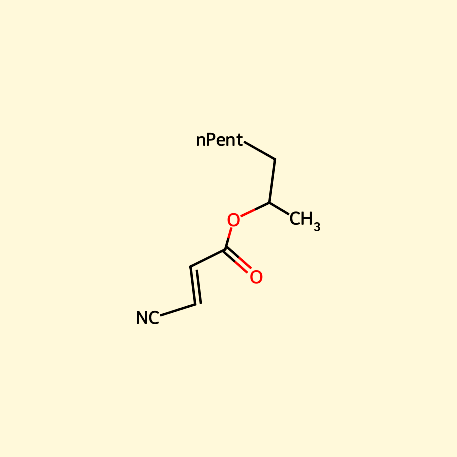 CCCCCCC(C)OC(=O)C=CC#N